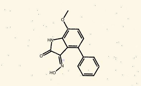 COc1ccc(-c2ccccc2)c2c1NC(=O)/C2=N\O